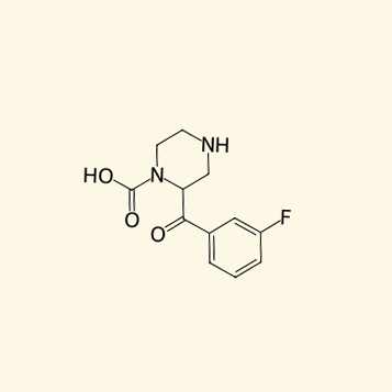 O=C(c1cccc(F)c1)C1CNCCN1C(=O)O